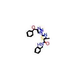 Cc1nc(-n2cc(C(=O)c3ccccc3)nn2)sc1C(=O)NCc1ccccc1